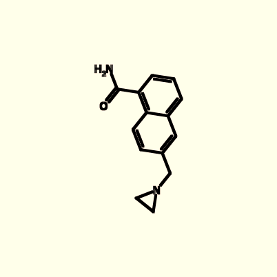 NC(=O)c1cccc2cc(CN3CC3)ccc12